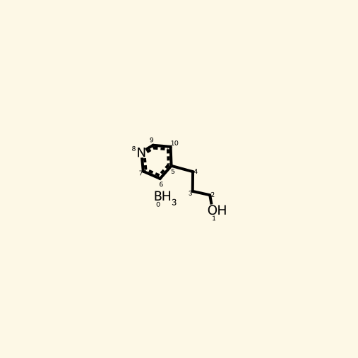 B.OCCCc1ccncc1